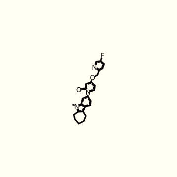 Cn1c2c(c3ccc(-n4ccc(OCc5ccc(F)cn5)cc4=O)cc31)CCCCC2